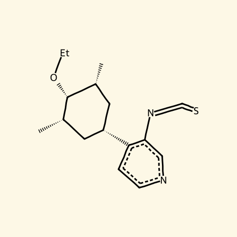 CCO[C@@H]1[C@H](C)C[C@H](c2ccncc2N=C=S)C[C@@H]1C